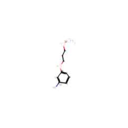 COCCCOc1cccc(I)c1